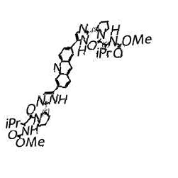 COC(=O)NC(C(=O)N1CCC[C@H]1c1ncc(-c2ccc3cc4cc(-c5cnc([C@@H]6CCCN6C(=O)[C@@H](NC(=O)OC)C(C)C)[nH]5)ccc4nc3c2)[nH]1)C(C)C